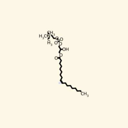 CCCCCCCC/C=C\CCCCCCCC(=O)OCC(O)COP(=O)([O-])OCC[N+](C)(C)C